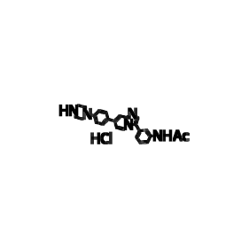 CC(=O)Nc1cccc(-c2cnc3cc(-c4ccc(N5CCNCC5)cc4)ccn23)c1.Cl